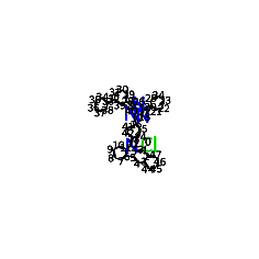 Clc1c2c(cc3c4ccccc4n(-c4ccc(-c5nc(-c6ccccc6)nc(-c6cccc(-c7ccccc7)c6)n5)cc4)c13)=CCCC=2